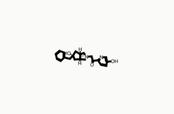 O=C(CN1C[C@@H]2C[C@@](O)(Cc3ccccc3)C[C@@H]2C1)c1ccc(O)cn1